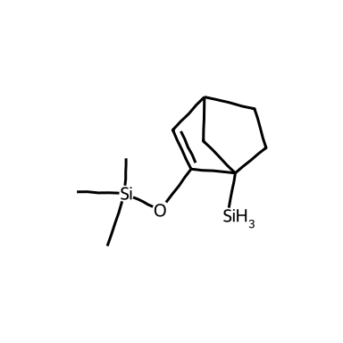 C[Si](C)(C)OC1=CC2CCC1([SiH3])C2